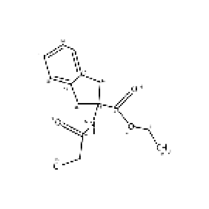 CCOC(=O)C1(NC(=O)CCl)Cc2ccccc2C1